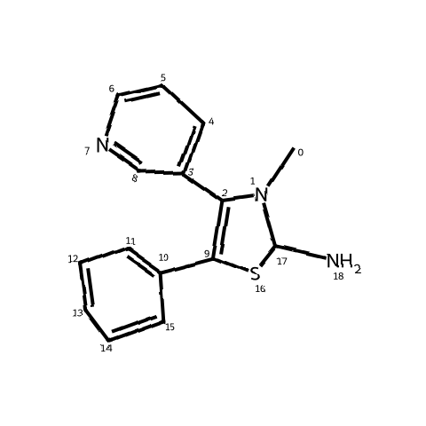 CN1C(c2cccnc2)=C(c2ccccc2)SC1N